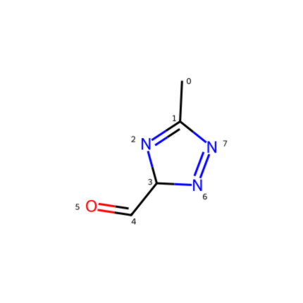 CC1=NC(C=O)N=N1